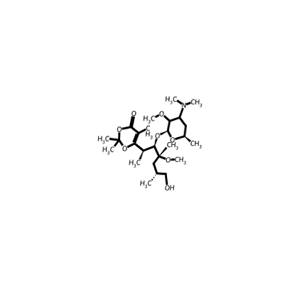 COC1C(N(C)C)C[C@@H](C)O[C@H]1O[C@H]([C@@H](C)C1=C(C)C(=O)OC(C)(C)O1)[C@@](C)(C[C@@H](C)CO)OC